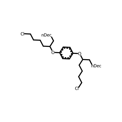 CCCCCCCCCCCC(CCCCCl)Oc1ccc(OC(CCCCCl)CCCCCCCCCCC)cc1